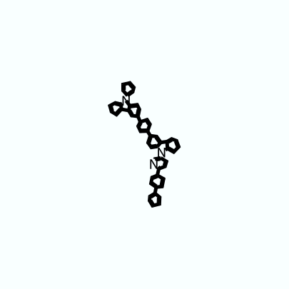 c1ccc(-c2ccc(-c3ccc(-n4c5ccccc5c5cc(-c6ccc(-c7ccc8c(c7)c7ccccc7n8-c7ccccc7)cc6)ccc54)cn3)cc2)cc1